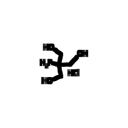 Cl.OCC(P)(CO)CO